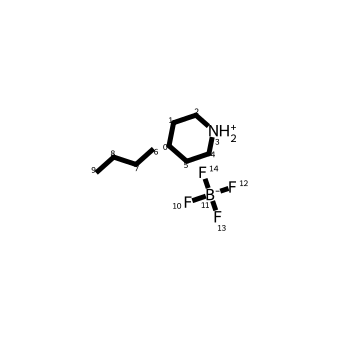 C1CC[NH2+]CC1.CCCC.F[B-](F)(F)F